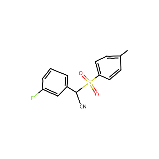 Cc1ccc(S(=O)(=O)C(C#N)c2cccc(F)c2)cc1